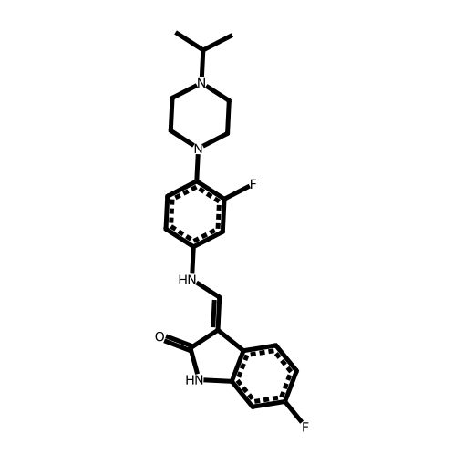 CC(C)N1CCN(c2ccc(NC=C3C(=O)Nc4cc(F)ccc43)cc2F)CC1